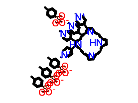 C[n+]1ccc(C2=Cc3cc4ccc(cc5nc(cc6[nH]c(c(-c7cc[n+](C)cc7)c2n3)c(-c2cc[n+](C)cc2)c6-c2cc[n+](C)cc2)C=C5)[nH]4)cc1.Cc1ccc(S(=O)(=O)[O-])cc1.Cc1ccc(S(=O)(=O)[O-])cc1.Cc1ccc(S(=O)(=O)[O-])cc1.Cc1ccc(S(=O)(=O)[O-])cc1